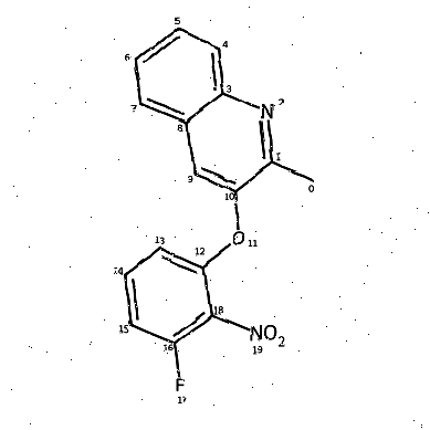 Cc1nc2ccccc2cc1Oc1cccc(F)c1[N+](=O)[O-]